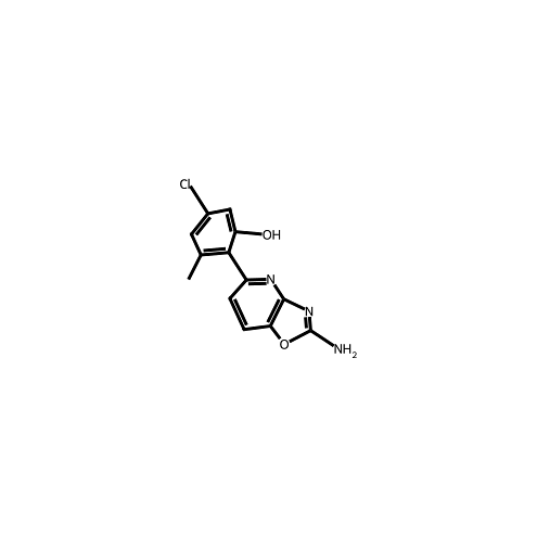 Cc1cc(Cl)cc(O)c1-c1ccc2oc(N)nc2n1